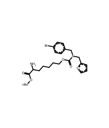 CCCCOC(=O)C(N)CCCCCOC(=O)N(Cc1ccc(Br)cc1)Cc1cccs1